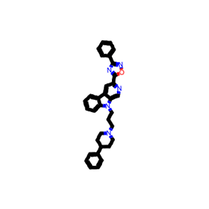 c1ccc(-c2noc(-c3cc4c5ccccc5n(CCCN5CCC(c6ccccc6)CC5)c4cn3)n2)cc1